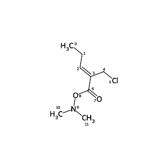 CCC=C(CCl)C(=O)ON(C)C